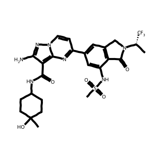 C[C@H](N1Cc2cc(-c3ccn4nc(N)c(C(=O)NC5CCC(C)(O)CC5)c4n3)cc(NS(C)(=O)=O)c2C1=O)C(F)(F)F